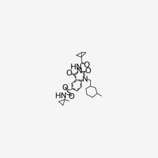 CC1CCCC(Cn2c(=O)n(NC(=O)C34CC3C4)c(=O)c3cc(S(=O)(=O)NC4(C)CC4)ccc32)C1